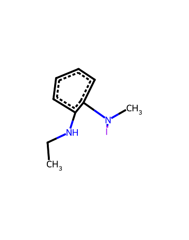 CCNc1ccccc1N(C)I